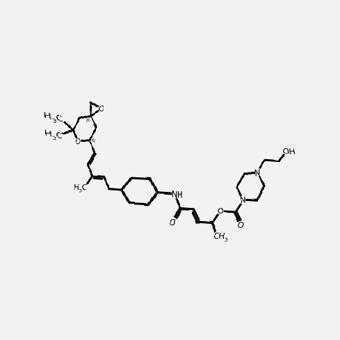 CC(C=C[C@@H]1C[C@]2(CO2)CC(C)(C)O1)=CCC1CCC(NC(=O)C=CC(C)OC(=O)N2CCN(CCO)CC2)CC1